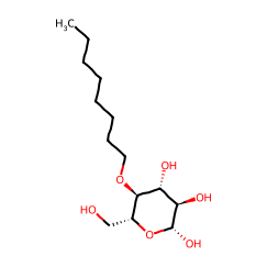 CCCCCCCCO[C@H]1[C@H](O)[C@@H](O)[C@H](O)O[C@@H]1CO